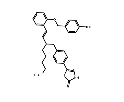 CC(C)(C)c1ccc(COc2ccccc2C=CC(CCCCC(=O)O)Cc2ccc(-c3n[nH]c(=O)o3)cc2)cc1